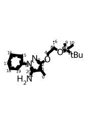 Cc1c(OC[C@H](C)O[Si](C)(C)C(C)(C)C)nn(-c2ccccc2)c1N